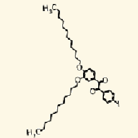 CCCCCCCCCCCCOc1ccc(C(=O)C(=O)c2ccc(I)cc2)cc1OCCCCCCCCCCCC